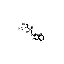 CCC(C)CC(C(=O)O)P(=O)(O)CSc1ccc2ccccc2n1